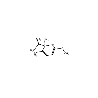 COC1=CC=C(N)C(N)(C(C)C)N1